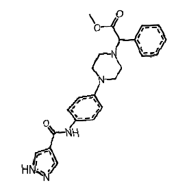 COC(=O)C(c1ccccc1)N1CCN(c2ccc(NC(=O)c3cn[nH]c3)cc2)CC1